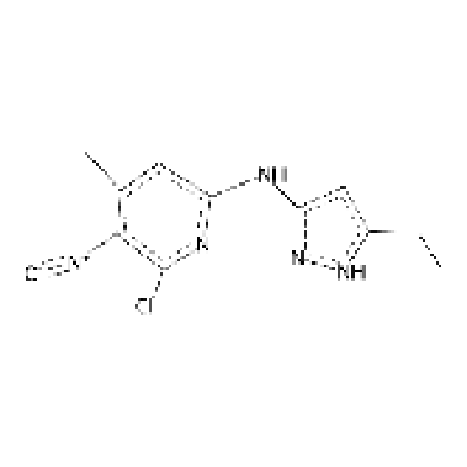 [C-]#[N+]c1c(C)cc(Nc2cc(CC)[nH]n2)nc1Cl